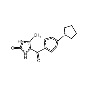 Cc1[nH]c(=O)[nH]c1C(=O)c1ccc(N2CCCC2)cc1